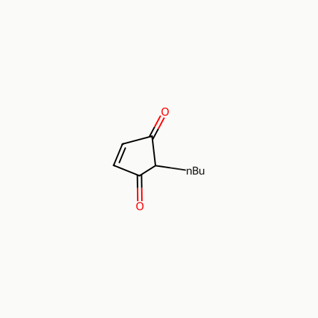 CCCCC1C(=O)C=CC1=O